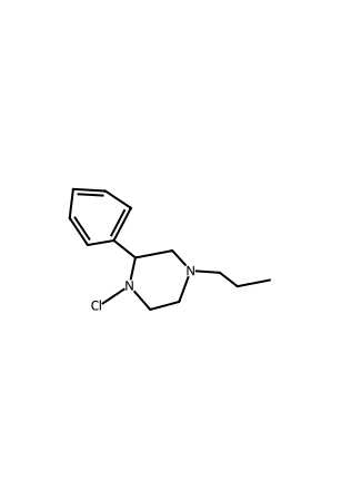 CCCN1CCN(Cl)C(c2ccccc2)C1